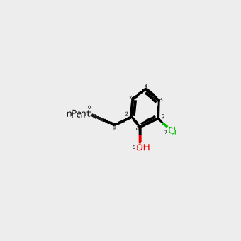 CCCCCCc1cccc(Cl)c1O